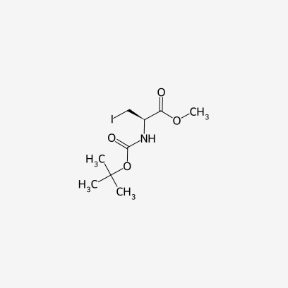 COC(=O)[C@H](CI)NC(=O)OC(C)(C)C